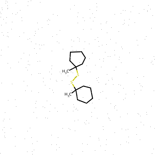 CC1(SSC2(C)CCCCC2)CCCCC1